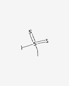 CS(=S)(=S)I